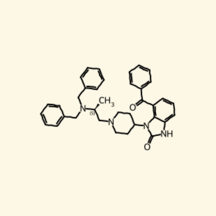 C[C@@H](CN1CCC(n2c(=O)[nH]c3cccc(C(=O)c4ccccc4)c32)CC1)N(Cc1ccccc1)Cc1ccccc1